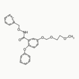 COCCOCOc1ccc(Oc2ccccc2)c(C(=O)NOCc2ccccc2)c1